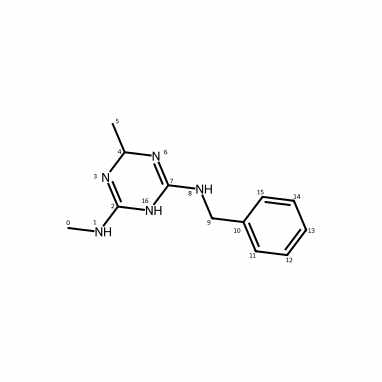 CNC1=NC(C)N=C(NCc2ccccc2)N1